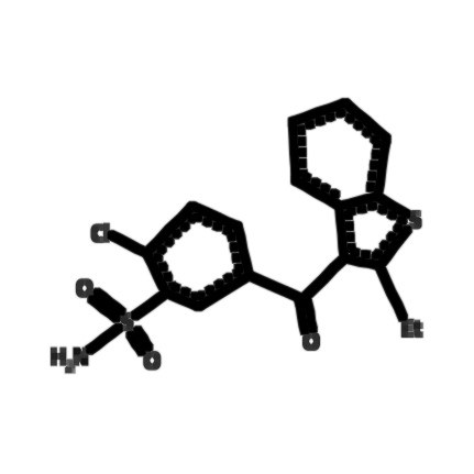 CCc1sc2ccccc2c1C(=O)c1ccc(Cl)c(S(N)(=O)=O)c1